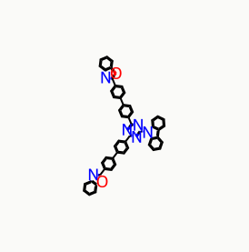 c1ccc2oc(-c3ccc(-c4ccc(-c5nc(-c6ccc(-c7ccc(-c8nc9ccccc9o8)cc7)cc6)nc(-n6c7ccccc7c7ccccc76)n5)cc4)cc3)nc2c1